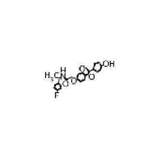 C[C@H](NC(=O)COc1ccc2c(=O)c(-c3ccc(O)cc3)coc2c1)c1ccc(F)cc1